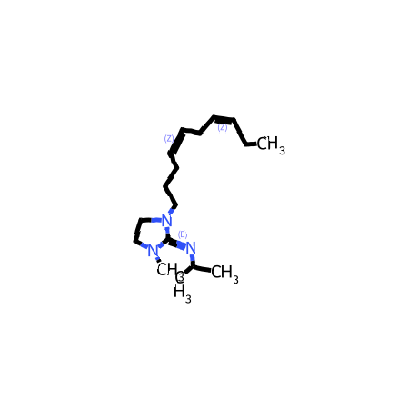 CC/C=C\C/C=C\CCCN1CCN(C)/C1=N\C(C)C